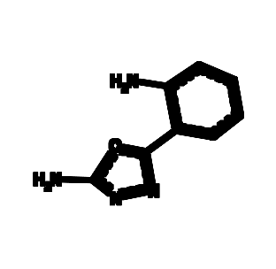 Nc1nnc(-c2ccccc2N)o1